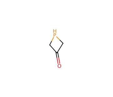 O=C1CPC1